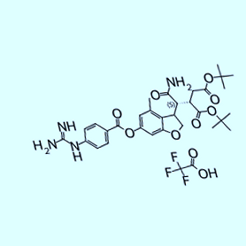 Cc1cc(OC(=O)c2ccc(NC(=N)N)cc2)cc2c1C([C@H](C(N)=O)C(CC(=O)OC(C)(C)C)C(=O)OC(C)(C)C)CO2.O=C(O)C(F)(F)F